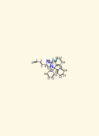 C#C/C=C/c1cn(C(c2ccccc2)(c2ccccc2)c2ccccc2)c(F)n1